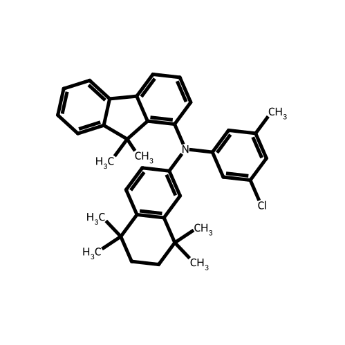 Cc1cc(Cl)cc(N(c2ccc3c(c2)C(C)(C)CCC3(C)C)c2cccc3c2C(C)(C)c2ccccc2-3)c1